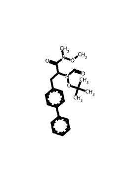 CON(C)C(=O)C(Cc1ccc(-c2ccccc2)cc1)N(C=O)OC(C)(C)C